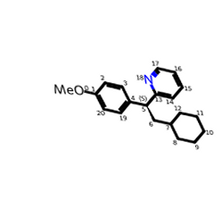 COc1ccc([C@H](CC2CCCCC2)c2ccccn2)cc1